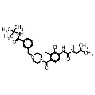 CC(C)CNC(=O)Nc1ccc(C(=O)N2CCN(Cc3cccc(C(=O)NC(C)(C)C)c3)CC2)c(F)c1Cl